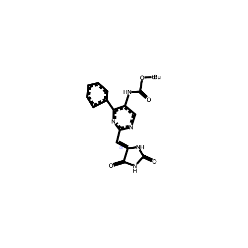 CC(C)(C)OC(=O)Nc1cnc(/C=C2\NC(=O)NC2=O)nc1-c1ccccc1